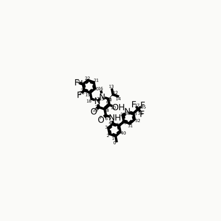 Cc1ccc(NC(=O)C2=C(O)[C@@H](C(C)C)N(C)N(Cc3cccc(F)c3F)C2=O)c(-c2ccc(C(F)(F)F)nc2)c1